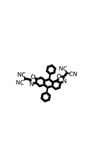 N#CC(C#N)=c1nc2cc3c(-c4ccccc4)c4ccc5nc(=C(C#N)C#N)oc5c4c(-c4ccccc4)c3cc2o1